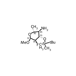 CO[C@H]1O[C@H](C)[C@@H](N)[C@H](O[Si](C)(C)C(C)(C)C)[C@H]1F